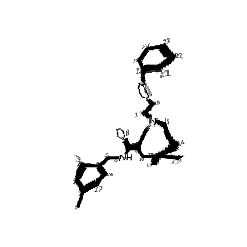 Cc1ccc(CNC(=O)C2CC(C)(C)CCN2CCOc2ccccc2)cc1